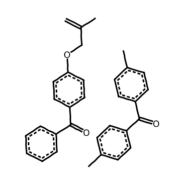 C=C(C)COc1ccc(C(=O)c2ccccc2)cc1.Cc1ccc(C(=O)c2ccc(C)cc2)cc1